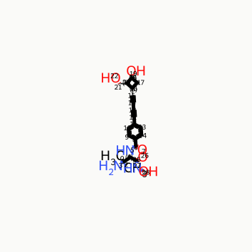 CC(C)(N)[C@H](NC(=O)c1ccc(C#CC#C[C@H]2C[C@@H](O)[C@H]2CO)cc1)C(=O)NO